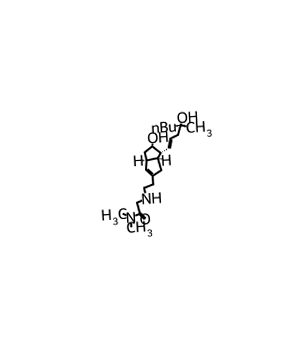 CCCC[C@](C)(O)C/C=C/[C@@H]1[C@H]2CC(CCNCC(=O)N(C)C)=C[C@H]2C[C@H]1O